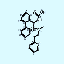 CN(CCc1ccccn1)C(=O)C(NC(=O)O)c1ccccc1-c1ccccc1